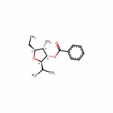 CC[C@@H]1O[C@H](C(C)C)[C@@H](OC(=O)c2ccccc2)[C@H]1C